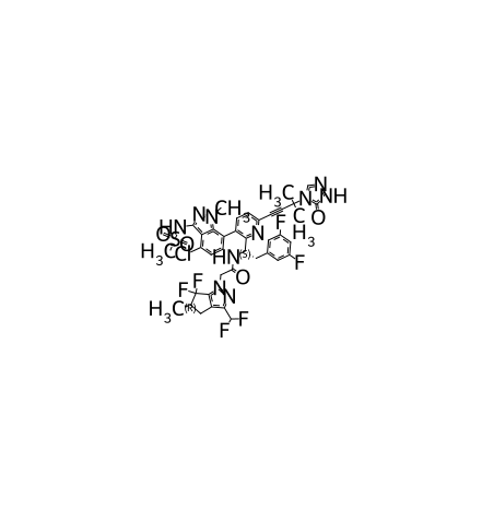 C[C@@H]1Cc2c(C(F)F)nn(CC(=O)N[C@@H](Cc3cc(F)cc(F)c3)c3nc(C#CC(C)(C)n4cn[nH]c4=O)ccc3-c3ccc(Cl)c4c(NS(C)(=O)=O)nn(C)c34)c2C1(F)F